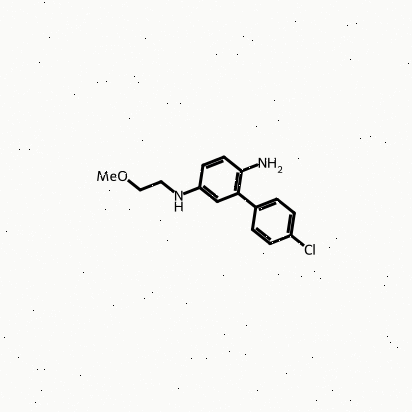 COCCNc1ccc(N)c(-c2ccc(Cl)cc2)c1